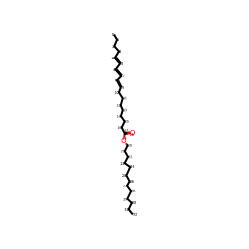 CCCCC=CC=CC=CCCCCCCCC(=O)OCCCCCCCCCCCCC